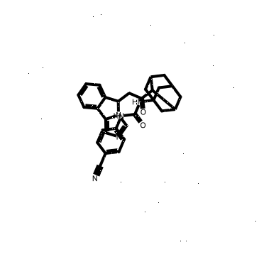 N#Cc1ccc(NC(=O)NC23CC4CC(C2)C(C(=O)CC2c5ccccc5-c5cncn52)C(C4)C3)cc1